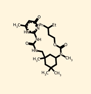 CCCC(CC)CCOC(=O)N(C)C1CC(C)(C)CC(C)(CNC(=O)Nc2nc(=O)cc(C)[nH]2)C1